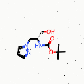 CC(C)(C)OC(=O)N[C@@H](CO)Cn1cccn1